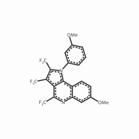 COc1cccc(-n2c(C(F)(F)F)c(C(F)(F)F)c3c(C(F)(F)F)nc4cc(OC)ccc4c32)c1